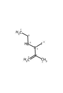 C=C(C)B(I)BCC